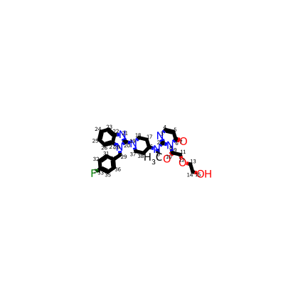 CN(c1nccc(=O)n1C(=O)COCCO)C1CCN(c2nc3ccccc3n2Cc2ccc(F)cc2)CC1